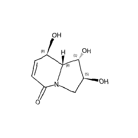 O=C1C=C[C@@H](O)[C@@H]2[C@H](O)[C@@H](O)CN12